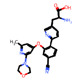 Cc1cc(Oc2cc(C#N)ccc2-c2ccc(CC(N)C(=O)O)cn2)cc(N2CCOCC2)n1